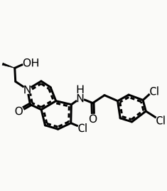 C[C@@H](O)Cn1ccc2c(NC(=O)Cc3ccc(Cl)c(Cl)c3)c(Cl)ccc2c1=O